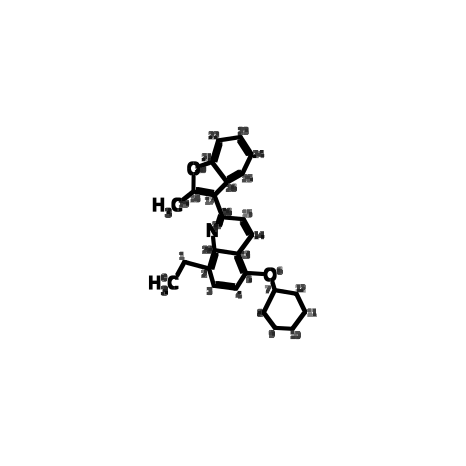 CCc1ccc(OC2CCCCC2)c2ccc(-c3c(C)oc4ccccc34)nc12